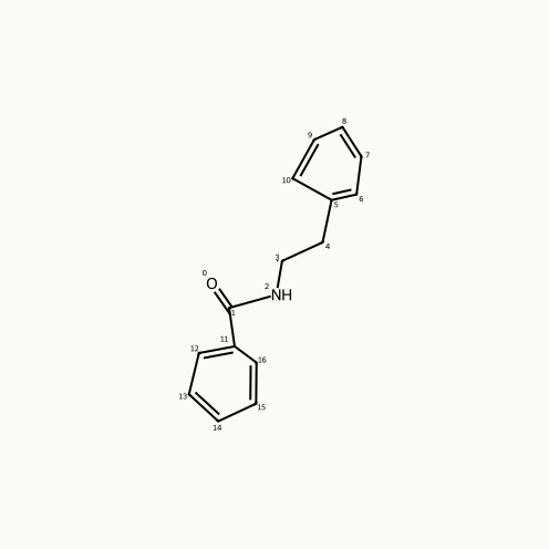 O=C(N[CH]Cc1ccccc1)c1ccccc1